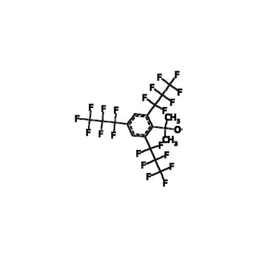 CC(C)([O])c1c(C(F)(F)C(F)(F)C(F)(F)F)cc(C(F)(F)C(F)(F)C(F)(F)F)cc1C(F)(F)C(F)(F)C(F)(F)F